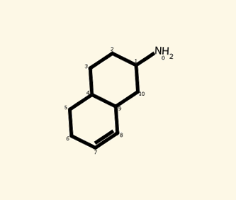 NC1CCC2CCC=CC2C1